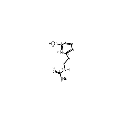 Cc1cccc(CCNC(=O)C(C)(C)C)n1